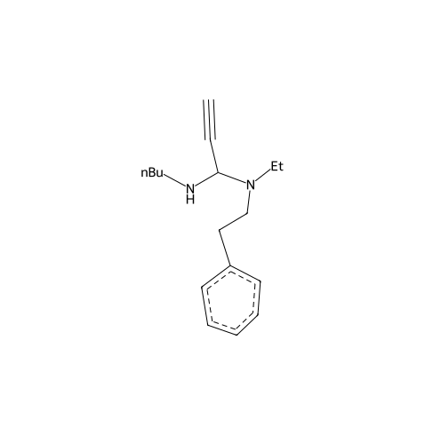 C#CC(NCCCC)N(CC)CCc1ccccc1